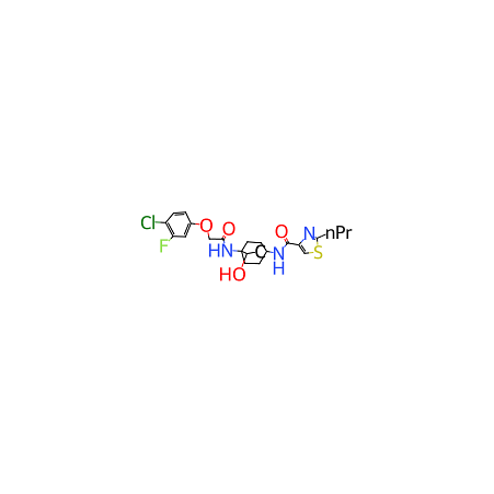 CCCc1nc(C(=O)NC23CCC(NC(=O)COc4ccc(Cl)c(F)c4)(CC2)C(O)C3)cs1